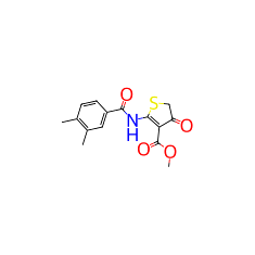 COC(=O)C1=C(NC(=O)c2ccc(C)c(C)c2)SCC1=O